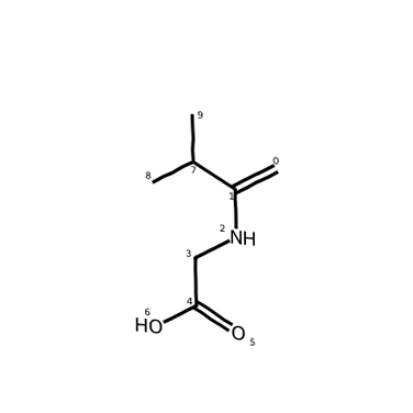 C=C(NCC(=O)O)C(C)C